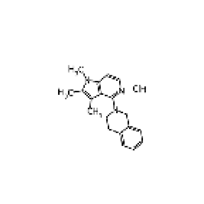 Cc1c(C)n(C)c2ccnc(N3CCc4ccccc4C3)c12.Cl